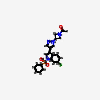 CC(=O)N1CC(n2cc(-c3cn(S(=O)(=O)c4ccccc4)c4cc(F)ccc34)cn2)C1